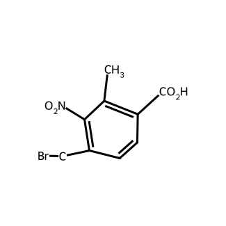 Cc1c(C(=O)O)ccc(CBr)c1[N+](=O)[O-]